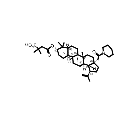 C=C(C)[C@@H]1CC[C@]2(CC(=O)N3CCCCC3)CC[C@]3(C)[C@H](CC[C@@H]4[C@@]5(C)CC[C@H](OC(=O)CC(C)(C)C(=O)O)C(C)(C)[C@@H]5CC[C@]43C)[C@@H]12